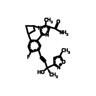 Cc1cc([C@](C)(O)C#Cc2cc3c(cc2F)C2CC(C2)n2c-3nc(C(N)=O)c2C)no1